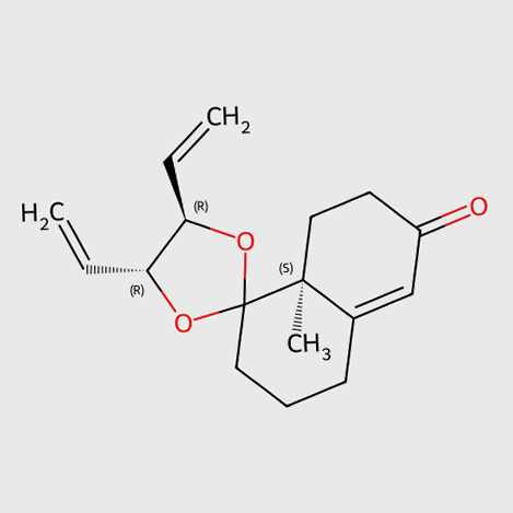 C=C[C@H]1OC2(CCCC3=CC(=O)CC[C@@]32C)O[C@@H]1C=C